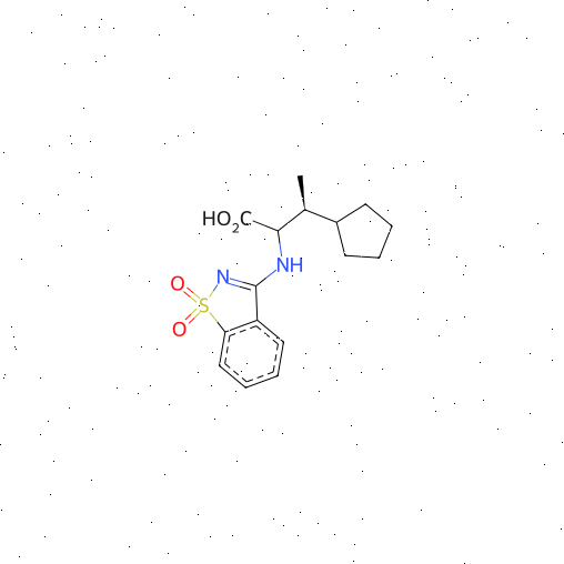 C[C@@H](C1CCCC1)C(NC1=NS(=O)(=O)c2ccccc21)C(=O)O